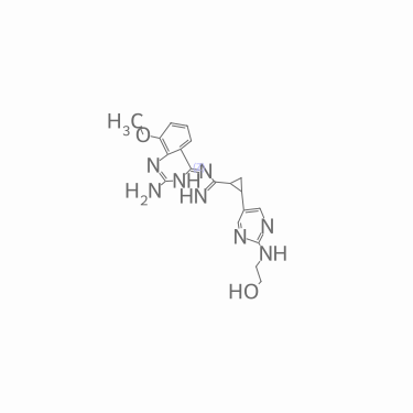 COc1cccc2/c(=N/C(=N)C3CC3c3cnc(NCCO)nc3)[nH]c(N)nc12